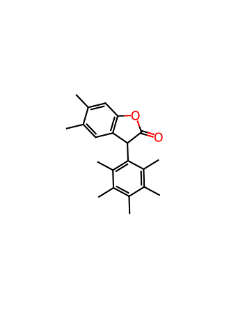 Cc1cc2c(cc1C)C(c1c(C)c(C)c(C)c(C)c1C)C(=O)O2